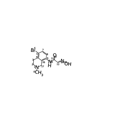 CN1CCc2c(Br)ccc(NC(=O)C=NO)c2C1